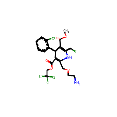 COC(=O)C1=C(CF)NC(COCCN)=C(C(=O)OCC(Cl)(Cl)Cl)C1c1ccccc1Cl